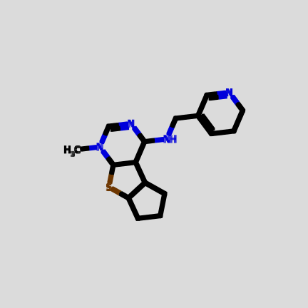 CN1C=NC(NCC2=CCCN=C2)C2C3CCCC3SC21